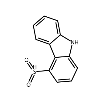 O=[SH](=O)c1cccc2[nH]c3ccccc3c12